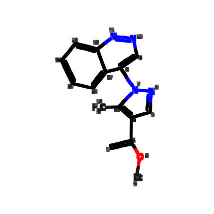 C=C(OCC)c1cnn(-c2cnnc3ccccc23)c1C(F)(F)F